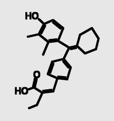 CCC(=Cc1ccc(C(=C2CCCCC2)c2ccc(O)c(C)c2C)cc1)C(=O)O